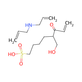 C=CC(=O)C(CO)CCCCS(=O)(=O)O.C=CCNCC=C